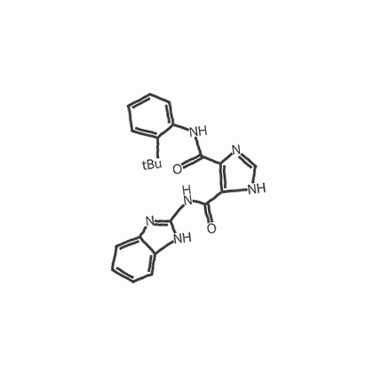 CC(C)(C)c1ccccc1NC(=O)c1nc[nH]c1C(=O)Nc1nc2ccccc2[nH]1